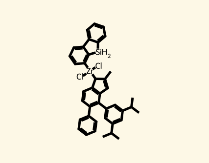 CC1=Cc2c(ccc(-c3ccccc3)c2-c2cc(C(C)C)cc(C(C)C)c2)[CH]1[Zr]([Cl])([Cl])[c]1cccc2c1[SiH2]c1ccccc1-2